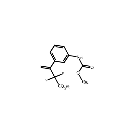 C=C(c1cccc(NC(=O)OC(C)(C)C)c1)C(F)(F)C(=O)OCC